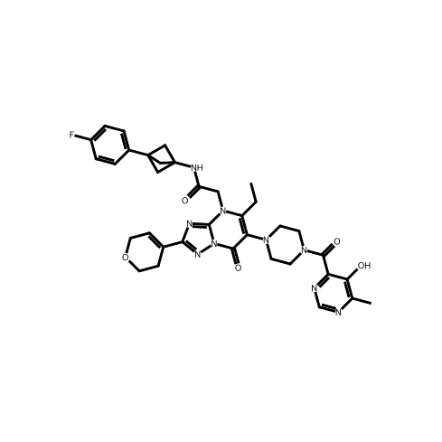 CCc1c(N2CCN(C(=O)c3ncnc(C)c3O)CC2)c(=O)n2nc(C3=CCOCC3)nc2n1CC(=O)NC12CC(c3ccc(F)cc3)(C1)C2